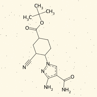 CC(C)(C)OC(=O)C1CCC(n2cc(C(N)=O)c(N)n2)C(C#N)C1